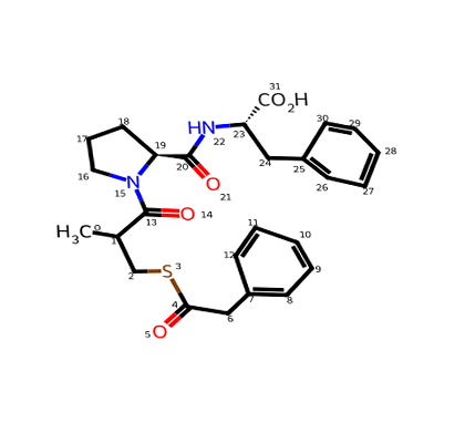 CC(CSC(=O)Cc1ccccc1)C(=O)N1CCC[C@H]1C(=O)N[C@@H](Cc1ccccc1)C(=O)O